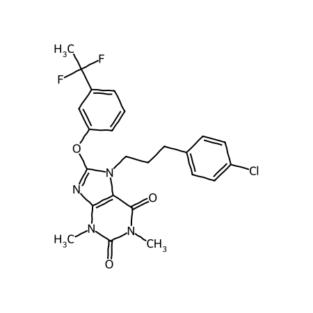 Cn1c(=O)c2c(nc(Oc3cccc(C(C)(F)F)c3)n2CCCc2ccc(Cl)cc2)n(C)c1=O